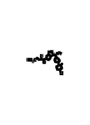 CCC[C@H](c1ccc(-c2ccc(Cl)cc2C)cc1)n1ncc2cc(C(=O)NCCC(=O)O)ccc21